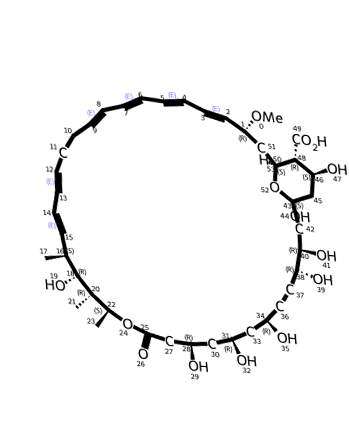 CO[C@H]1/C=C/C=C/C=C/C=C/CC/C=C/C=C/[C@H](C)[C@@H](O)[C@@H](C)[C@H](C)OC(=O)C[C@H](O)C[C@H](O)C[C@H](O)CC[C@@H](O)[C@H](O)C[C@]2(O)C[C@H](O)[C@@H](C(=O)O)[C@H](C1)O2